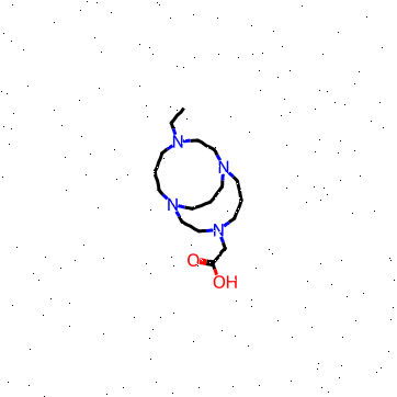 CCN1CCCN2CCCN(CCCN(CC(=O)O)CC2)CC1